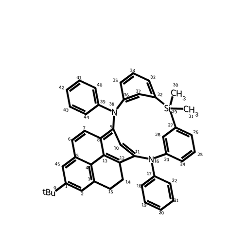 CC(C)(C)c1cc2c3c(ccc4c5cc(c(c43)CC2)N(c2ccccc2)c2cccc(c2)[Si](C)(C)c2cccc(c2)N5c2ccccc2)c1